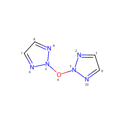 c1cnn(On2nccn2)n1